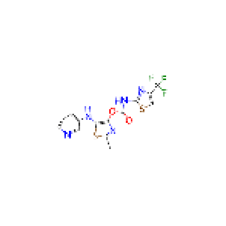 Cc1nc(OC(=O)Nc2nc(C(F)(F)F)cs2)c(Nc2cccnc2)s1